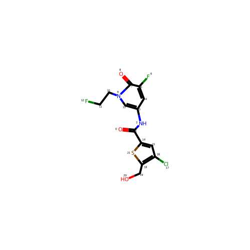 O=C(Nc1cc(F)c(=O)n(CCF)c1)c1cc(Cl)c(CO)s1